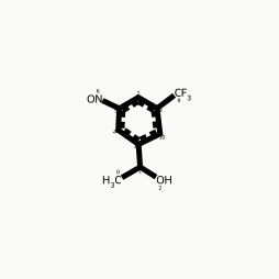 CC(O)c1cc(N=O)cc(C(F)(F)F)c1